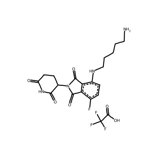 NCCCCCNc1ccc(F)c2c1C(=O)N(C1CCC(=O)NC1=O)C2=O.O=C(O)C(F)(F)F